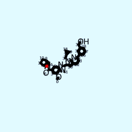 COc1cc(C(=O)N2CC3CCC2[C@@H]3C)cc2nc(-c3cc4ccc(-c5cccc(CO)c5)nc4n3CC3CC3)n(C)c12